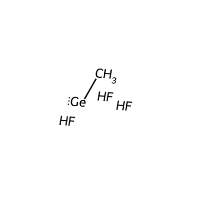 F.F.F.[CH3][Ge]